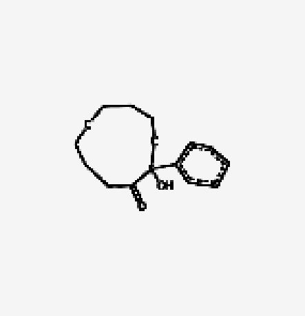 O=C1CCCCCCCCS1(O)c1ccccc1